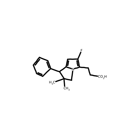 CC1(C)Cn2c(cc(F)c2CCC(=O)O)C1c1ccccc1